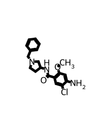 COc1cc(N)c(Cl)cc1C(=O)NC1CCN(Cc2ccccc2)C1